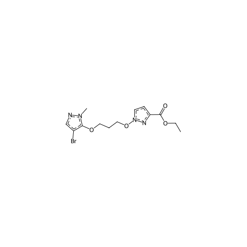 CCOC(=O)c1ccn(OCCCOc2c(Br)cnn2C)n1